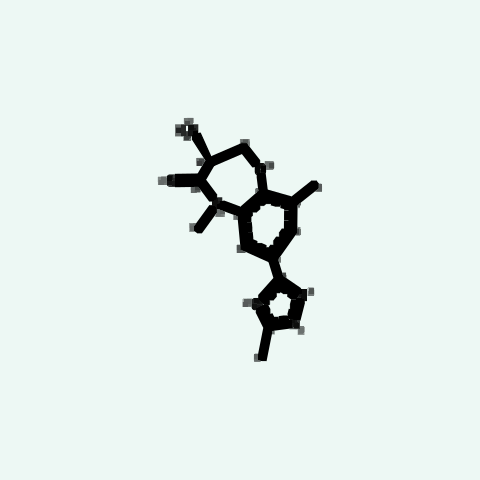 Cc1nnc(-c2cc(C)c3c(c2)N(C)C(=O)[C@@H](N)CO3)o1